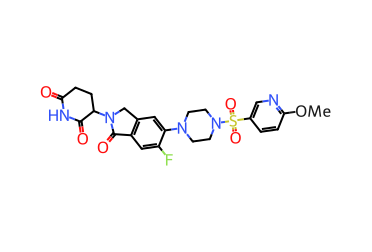 COc1ccc(S(=O)(=O)N2CCN(c3cc4c(cc3F)C(=O)N(C3CCC(=O)NC3=O)C4)CC2)cn1